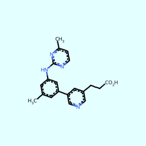 Cc1cc(Nc2nccc(C)n2)cc(-c2cncc(CCC(=O)O)c2)c1